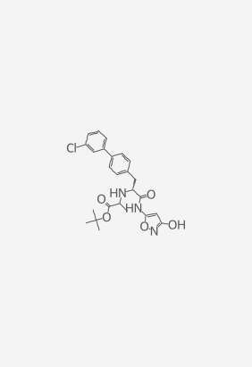 CC(N[C@@H](Cc1ccc(-c2cccc(Cl)c2)cc1)C(=O)Nc1cc(O)no1)C(=O)OC(C)(C)C